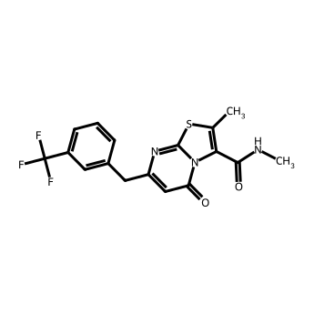 CNC(=O)c1c(C)sc2nc(Cc3cccc(C(F)(F)F)c3)cc(=O)n12